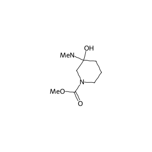 CNC1(O)CCCN(C(=O)OC)C1